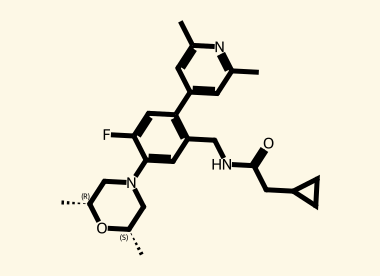 Cc1cc(-c2cc(F)c(N3C[C@@H](C)O[C@@H](C)C3)cc2CNC(=O)CC2CC2)cc(C)n1